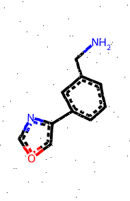 NCc1cccc(-c2cocn2)c1